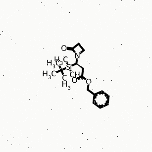 CC(C)(C)[Si](C)(C)[C@H](CC(=O)OCc1ccccc1)N1CCC1=O